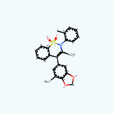 COc1cc(C2=C(C(=O)O)N(c3ccccc3C)S(=O)(=O)c3ccccc32)cc2c1OCO2